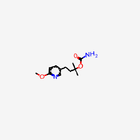 COc1ccc(CCC(C)(C)OC(N)=O)cn1